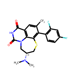 CN(C)[C@H]1CSc2c(-c3ccc(F)cc3F)c(C(F)(F)F)cc3c(=O)[nH]c(=O)n(c23)C1